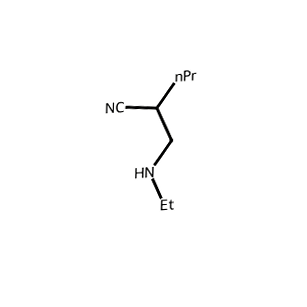 CCCC(C#N)CNCC